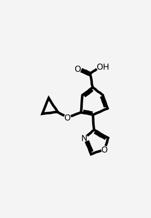 O=C(O)c1ccc(-c2cocn2)c(OC2CC2)c1